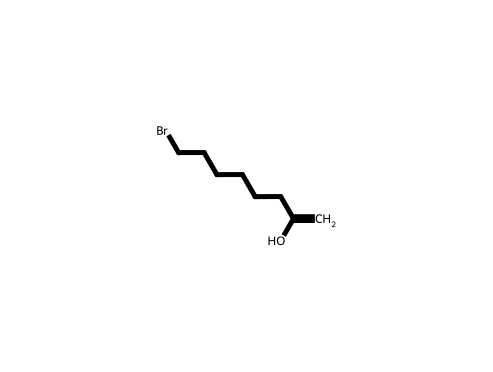 C=C(O)CCCCCCBr